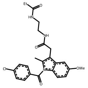 CCC(=O)NCCNC(=O)Cc1c(C)n(C(=O)c2ccc(Cl)cc2)c2ccc(OC)cc12